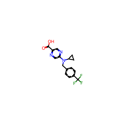 O=C(O)c1cnc(N(Cc2ccc(C(F)(F)F)cc2)C2CC2)cn1